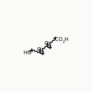 CC1(C)C=C(CCCCC(C)(C)CO)[S+]([O-])C(CCCC2=CC(C)(C)C=C(CCCCC(C)(C)C(=O)O)[S+]2[O-])=C1